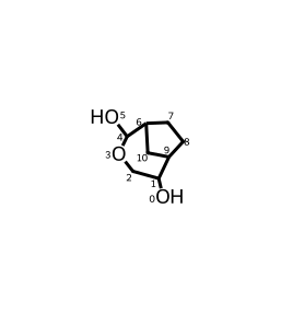 OC1COC(O)C2CCC1C2